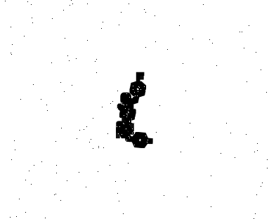 Cc1ccc(Cc2nsc(N3CCN(C(=O)Cc4ccc(F)cc4)C(C)C3)n2)cc1